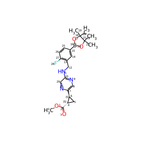 COC(=O)[C@H]1C[C@@H]1c1cnc(NCc2cc(B3OC(C)(C)C(C)(C)O3)ccc2F)cn1